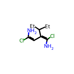 CCC(CC)C(/C=C(\N)Cl)=C(/N)Cl